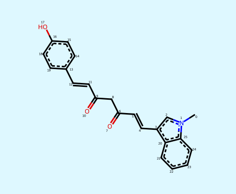 Cn1cc(C=CC(=O)CC(=O)C=Cc2ccc(O)cc2)c2ccccc21